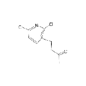 CC(=O)CCc1ccc(Cl)nc1Cl